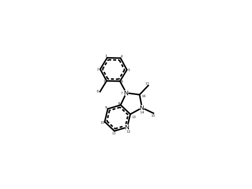 Cc1ccccc1N1c2cccnc2N(C)C1C